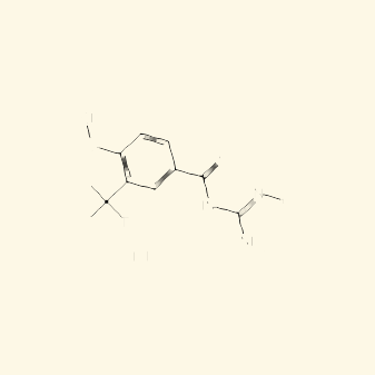 COc1ccc(C(=O)NC(N)=NCl)cc1C(F)(F)F.Cl